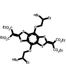 CCCCC(CC)COc1c2c(c(OCC(CC)CCCC)c3c1SC(=C(C(=O)OCC)C(=O)OCC)S3)SC(=C(C(=O)OCC)C(=O)OCC)S2